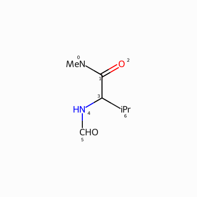 CNC(=O)C(NC=O)C(C)C